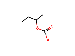 CCC(C)[O][Sn](=[O])[OH]